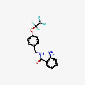 Nc1ccccc1C(=O)NCc1ccc(OC(F)(F)C(F)F)cc1